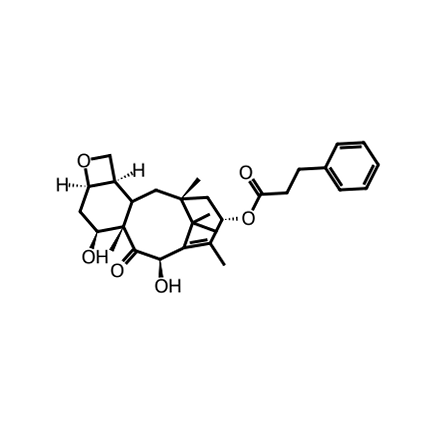 CC1=C2[C@@H](O)C(=O)[C@@]3(C)C(C[C@](C)(C[C@@H]1OC(=O)CCc1ccccc1)C2(C)C)[C@@H]1CO[C@@H]1C[C@@H]3O